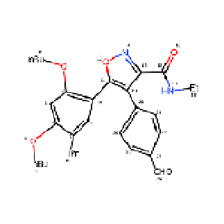 CCCCOc1cc(OCCCC)c(C(C)C)cc1-c1onc(C(=O)NCC)c1-c1ccc(C=O)cc1